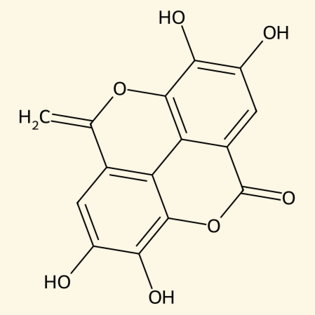 C=C1Oc2c(O)c(O)cc3c(=O)oc4c(O)c(O)cc1c4c23